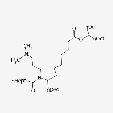 CCCCCCCCCCC(CCCCCCC(=O)OC(CCCCCCCC)CCCCCCCC)N(CCCN(C)C)C(=O)CCCCCCC